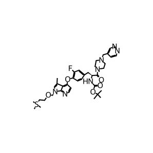 Cc1cn(COCCS(C)(C)C)c2nccc(Oc3ccc(C[C@H](NC(=O)OC(C)(C)C)C(=O)N4CCN(Cc5ccnnc5)CC4)cc3F)c12